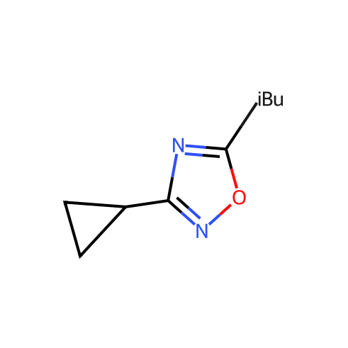 CCC(C)c1nc(C2CC2)no1